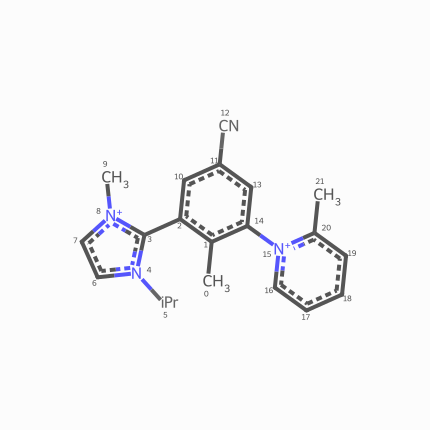 Cc1c(-c2n(C(C)C)cc[n+]2C)cc(C#N)cc1-[n+]1ccccc1C